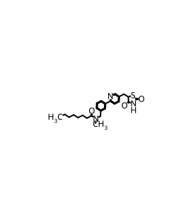 CCCCCCCC(=O)N(C)Cc1cccc(-c2ccc(CC3SC(=O)NC3=O)cn2)c1